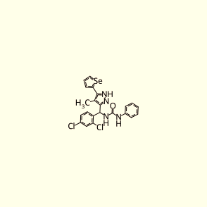 Cc1c(C(NC(=O)Nc2ccccc2)c2ccc(Cl)cc2Cl)n[nH]c1-c1ccc[se]1